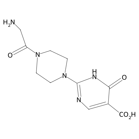 NCC(=O)N1CCN(c2ncc(C(=O)O)c(=O)[nH]2)CC1